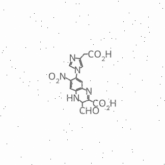 O=CC1Nc2cc([N+](=O)[O-])c(-n3cnc(CC(=O)O)c3)cc2N=C1C(=O)O